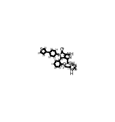 CC(C)c1n[nH]c2c1C(c1ccccc1OCc1nnn[nH]1)N(c1ccc(-c3ccsc3)cc1)C2=O